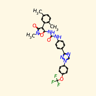 Cc1ccc(C)c(-c2c(NC(=O)Nc3ccc(-c4ncn(-c5ccc(OC(F)(F)F)cc5)n4)cc3)on(C)c2=O)c1